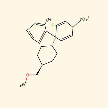 CCCOC[C@H]1CC[C@H](C2(c3ccccc3C#N)C=CC(C(=O)O)C=C2F)CC1